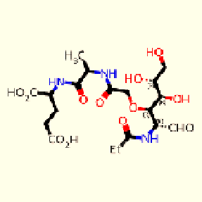 CCC(=O)N[C@@H](C=O)[C@@H](OCC(=O)NC(C)C(=O)NC(CCC(=O)O)C(=O)O)[C@H](O)[C@H](O)CO